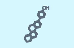 Oc1ccc(-c2ccc3c(c2)CCc2c-3ccc3c2=CCCC=3)cc1